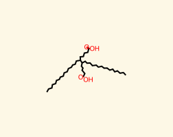 CCCCCCCCCCCCCCCCC(CCCCC(=O)O)C(CCCCCCCCCCCCCCCC)CCCCC(=O)O